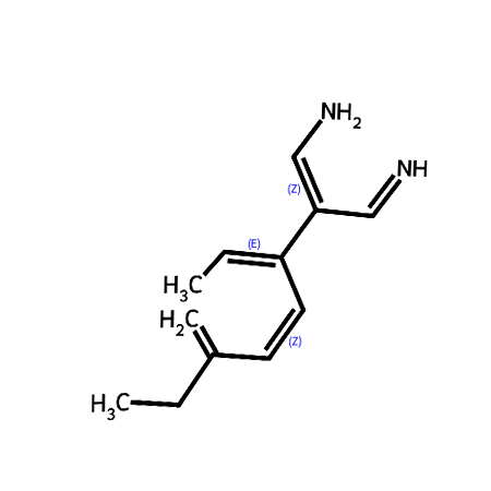 C=C(\C=C/C(=C\C)C(/C=N)=C/N)CC